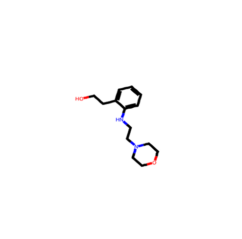 OCCc1ccccc1NCCN1CCOCC1